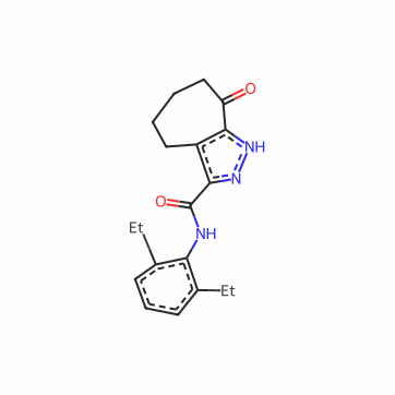 CCc1cccc(CC)c1NC(=O)c1n[nH]c2c1CCCCC2=O